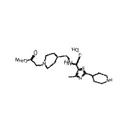 COC(=O)CN1CCC(CNC(=O)c2sc(C3CCNCC3)nc2C)CC1.Cl